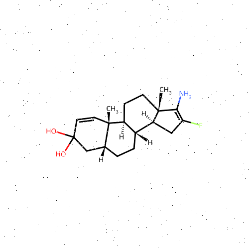 C[C@]12C=CC(O)(O)C[C@H]1CC[C@@H]1[C@@H]2CC[C@]2(C)C(N)=C(F)C[C@@H]12